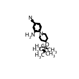 CC(C)(C)[Si](C)(C)OC1CCN(c2ccc(C#N)cc2N)CC1